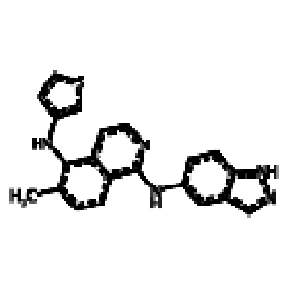 Cc1ccc2c(Nc3ccc4[nH]ncc4c3)nccc2c1Nc1ccsc1